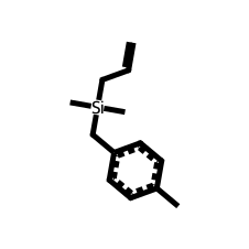 C=CC[Si](C)(C)Cc1ccc(C)cc1